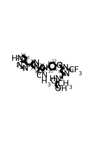 CC(C)(CO)NCc1cc(O[C@H]2CC[C@@H](N3CC(CC#N)(n4cc(-c5ncnc6[nH]ccc56)cn4)C3)CC2)nc(C(F)(F)F)n1